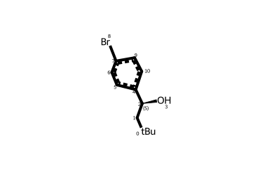 CC(C)(C)C[C@H](O)c1ccc(Br)cc1